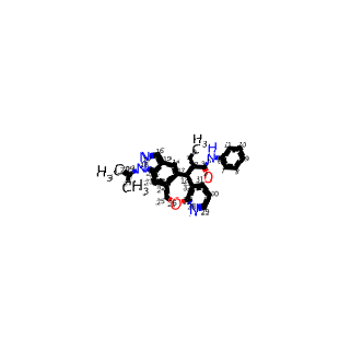 CC/C(C(=O)Nc1ccccc1)=C1\c2cc3cnn(C(C)C)c3cc2COc2ncccc21